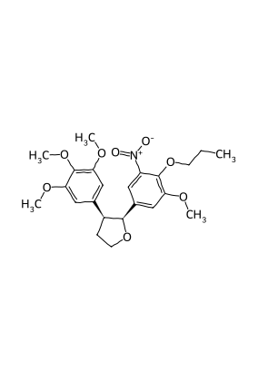 CCCOc1c(OC)cc([C@H]2OCC[C@H]2c2cc(OC)c(OC)c(OC)c2)cc1[N+](=O)[O-]